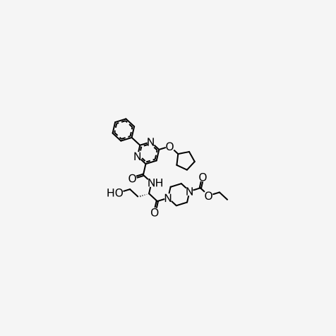 CCOC(=O)N1CCN(C(=O)[C@H](CCO)NC(=O)c2cc(OC3CCCC3)nc(-c3ccccc3)n2)CC1